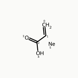 C=CC(=O)O.[Ne]